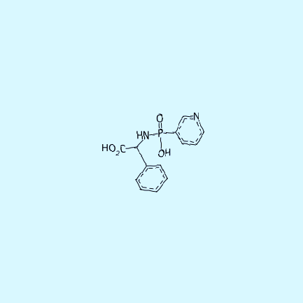 O=C(O)C(NP(=O)(O)c1cccnc1)c1ccccc1